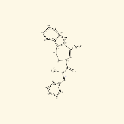 CCOC(=O)C1=CN(C(=O)/C(C)=C/c2ccccc2)CCc2c1[nH]c1ccccc21